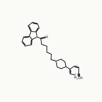 C#C/C=C\C(=C/C)C1CCN(CCCCCC(=O)n2c3ccccc3c3ccccc32)CC1